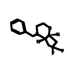 FC1(F)C[C@@H]2OCCN(Cc3ccccc3)[C@H]2C1